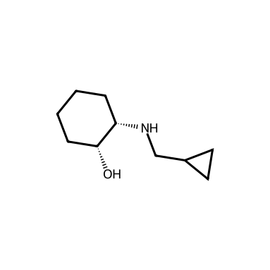 O[C@@H]1CCCC[C@@H]1NCC1CC1